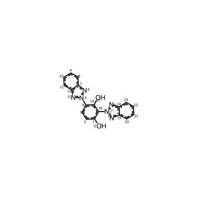 Oc1ccc(-n2nc3ccccc3n2)c(O)c1-n1nc2ccccc2n1